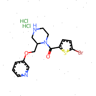 Cl.Cl.O=C(c1ccc(Br)s1)N1CCNCC1COc1cccnc1